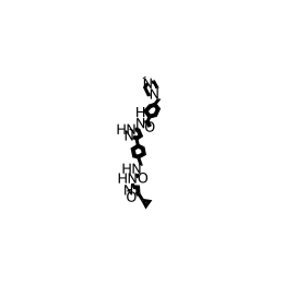 CN1CCN(Cc2ccc(C(=O)Nc3cc(-c4ccc(CNC(=O)Nc5cc(C6CC6)on5)cc4)n[nH]3)cc2)CC1